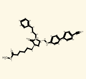 COC(=O)CCCCC[C@@H]1C[C@@H](COc2ccc(-c3ccc(C#N)cc3)cc2)N(CCCc2ccccc2)C1=O